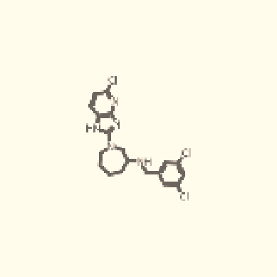 Clc1cc(Cl)cc(CNC2CCCCN(c3nc4nc(Cl)ccc4[nH]3)C2)c1